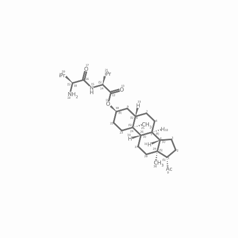 CC(=O)[C@H]1CC[C@H]2[C@@H]3CC[C@H]4C[C@H](OC(=O)[C@@H](NC(=O)[C@@H](N)C(C)C)C(C)C)CC[C@]4(C)[C@H]3CC[C@]12C